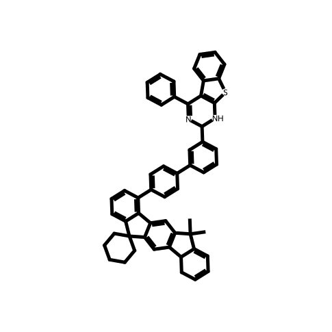 CC1(C)C2=CC=CCC2c2cc3c(cc21)-c1c(-c2ccc(-c4cccc(C5N=C(c6ccccc6)c6c(sc7ccccc67)N5)c4)cc2)cccc1C31CCCCC1